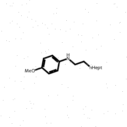 CCCCCCCCCNc1ccc(OC)cc1